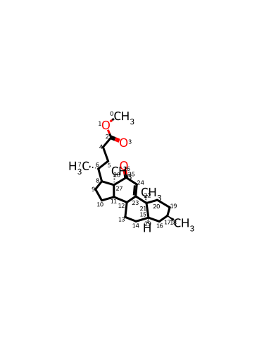 COC(=O)CC[C@@H](C)C1CCC2C3CC[C@@H]4C[C@H](C)CC[C@]4(C)C3=CC(=O)[C@@]21C